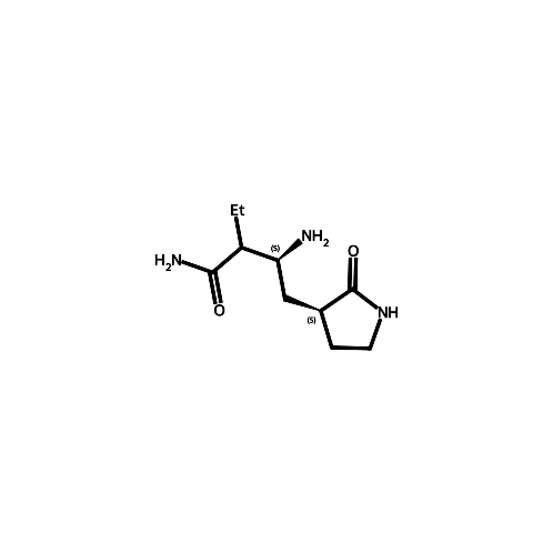 CCC(C(N)=O)[C@@H](N)C[C@@H]1CCNC1=O